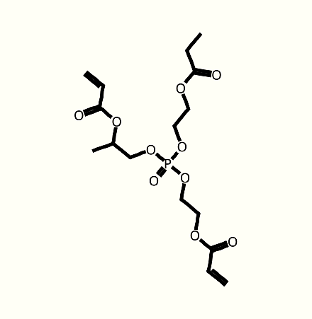 C=CC(=O)OCCOP(=O)(OCCOC(=O)CC)OCC(C)OC(=O)C=C